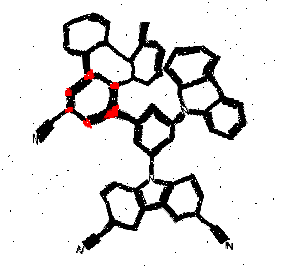 CC1C=CCC(C2=C(c3cc(-n4c5c(c6c4CCC(C#N)C6)CC(C#N)C=C5)cc(-n4c5ccccc5c5ccccc54)c3)CCC=C2)C1C1C=CC=CC1C1C=C(C#N)C=CC1